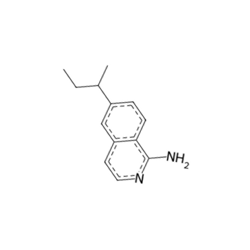 CCC(C)c1ccc2c(N)nccc2c1